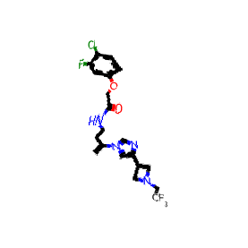 C=C(CCNC(=O)COc1ccc(Cl)c(F)c1)n1cnc(C2CN(CC(F)(F)F)C2)c1